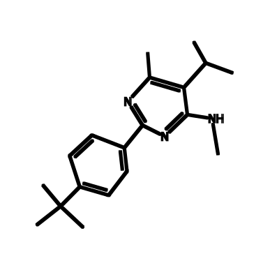 CNc1nc(-c2ccc(C(C)(C)C)cc2)nc(C)c1C(C)C